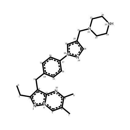 CCc1nn2cc(C)c(C)nc2c1Cc1ccc(-n2cc(CN3CCNCC3)cn2)cc1